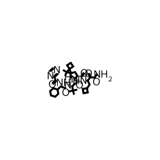 CC(C)(C)[C@H](NC(=O)[C@@H](NC(=O)c1cnccn1)C1CCCCC1)C(=O)N1CC2(C[C@H]1C(=O)NC(CC1CCC1)C(=O)C(N)=O)C(C)(C)C21CCC1